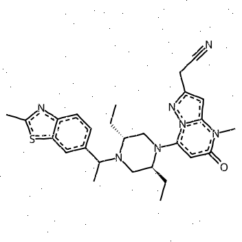 CC[C@H]1CN(C(C)c2ccc3nc(C)sc3c2)[C@H](CC)CN1c1cc(=O)n(C)c2cc(CC#N)nn12